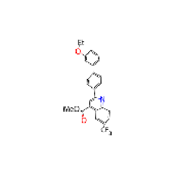 CCOc1cccc(-c2ccc(-c3cc(C(=O)OC)c4cc(C(F)(F)F)ccc4n3)cc2)c1